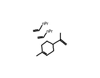 C=C(C)C1CC=C(C)CC1.C=CCCC.C=CCCC